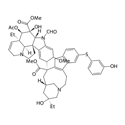 CC[C@]1(O)C[C@H]2CN(CCC3=C(Cc4ccc(Sc5cccc(O)c5)cc43)[C@@](C(=O)OC)(C3C=C4C(=CC3OC)N(C=O)[C@H]3[C@@](O)(C(=O)OC)[C@H](OC(C)=O)[C@]5(CC)C=CCN6CC[C@]43[C@@H]65)C2)C1